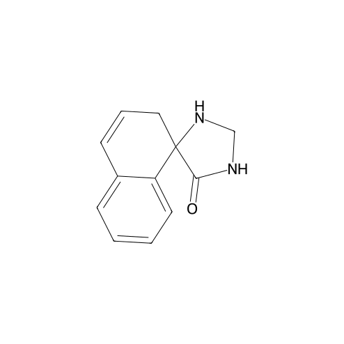 O=C1NCNC12CC=Cc1ccccc12